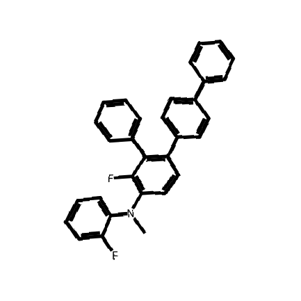 CN(c1ccccc1F)c1ccc(-c2ccc(-c3ccccc3)cc2)c(-c2ccccc2)c1F